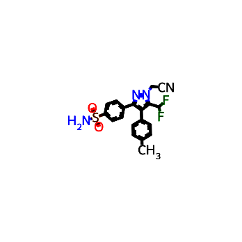 Cc1ccc(-c2c(-c3ccc(S(N)(=O)=O)cc3)nn(CC#N)c2C(F)F)cc1